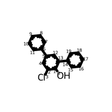 Oc1c(Cl)cc(-c2ccccc2)cc1-c1ccccc1